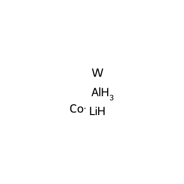 [AlH3].[Co].[LiH].[W]